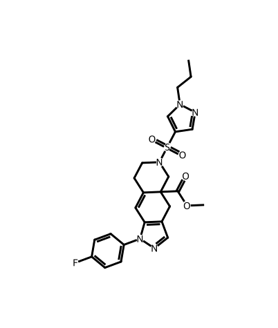 CCCn1cc(S(=O)(=O)N2CCC3=Cc4c(cnn4-c4ccc(F)cc4)CC3(C(=O)OC)C2)cn1